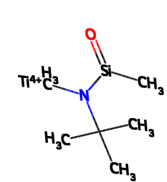 CN([Si](C)=O)C(C)(C)C.[Ti+4]